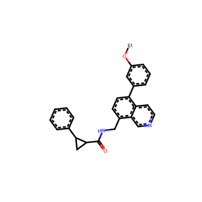 CCOc1cccc(-c2ccc(CNC(=O)C3CC3c3ccccc3)c3cnccc23)c1